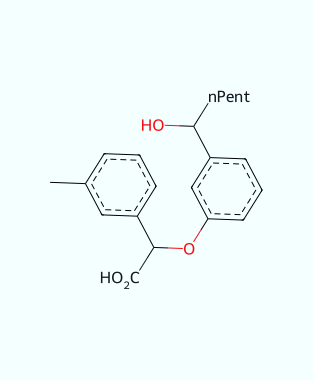 CCCCCC(O)c1cccc(OC(C(=O)O)c2cccc(C)c2)c1